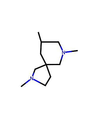 CC1CN(C)CC2(CCN(C)C2)C1